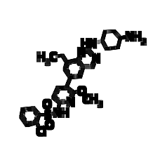 CCc1cc(-c2ccc(NS(=O)(=O)c3ccccc3Cl)nc2OC)cc2cnc(N[C@H]3CC[C@H](N)CC3)nc12